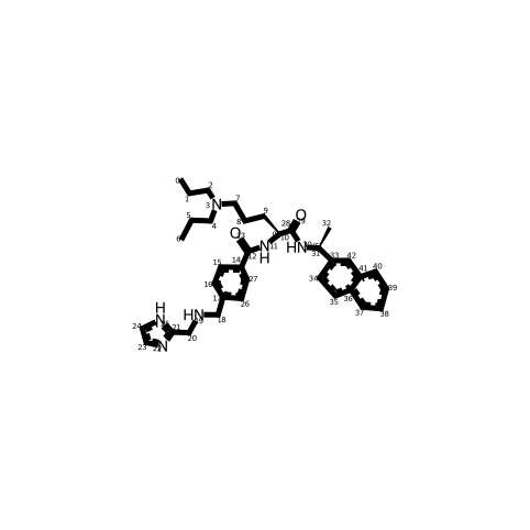 CCCN(CCC)CCC[C@H](NC(=O)c1ccc(CNCc2ncc[nH]2)cc1)C(=O)N[C@@H](C)c1ccc2ccccc2c1